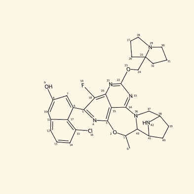 CC1Oc2nc(-c3cc(O)cc4cccc(Cl)c34)c(F)c3nc(OCC45CCCN4CCC5)nc(c23)N2CC3CCC(N3)C12